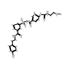 COCCNC(=O)Oc1ccc(C(=O)NS(=O)(=O)c2cccc(C(=O)NCCc3ccc(Cl)cc3)c2)cn1